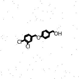 OCc1ccc(OCc2ccc(Cl)c(Cl)c2)cc1